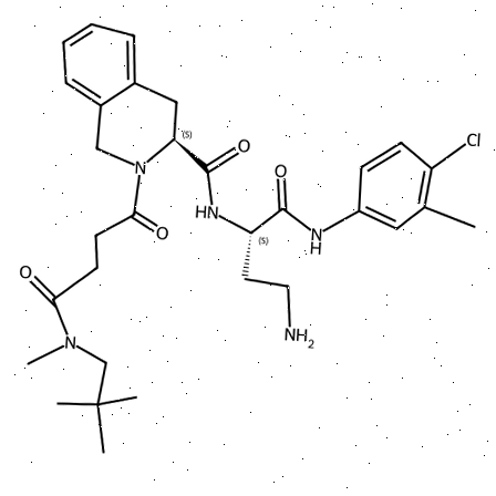 Cc1cc(NC(=O)[C@H](CCN)NC(=O)[C@@H]2Cc3ccccc3CN2C(=O)CCC(=O)N(C)CC(C)(C)C)ccc1Cl